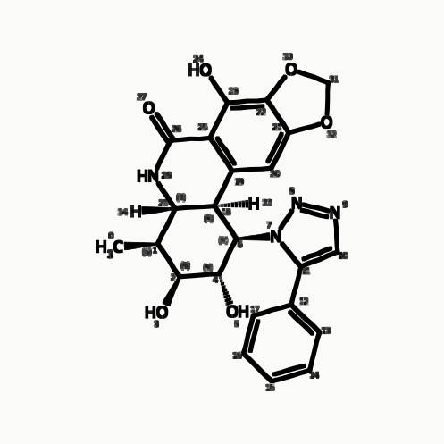 C[C@@H]1[C@H](O)[C@@H](O)[C@H](n2nncc2-c2ccccc2)[C@@H]2c3cc4c(c(O)c3C(=O)N[C@@H]12)OCO4